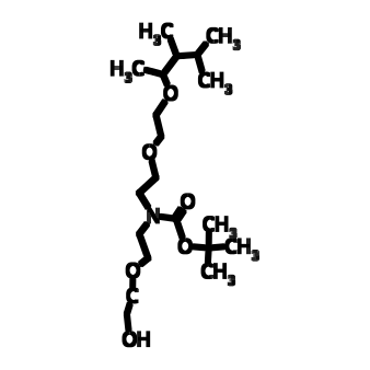 CC(C)C(C)C(C)OCCOCCN(CCOCCO)C(=O)OC(C)(C)C